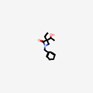 CCC1(C(C)O)CN(CC2=C[C][C]C=C2)C1=O